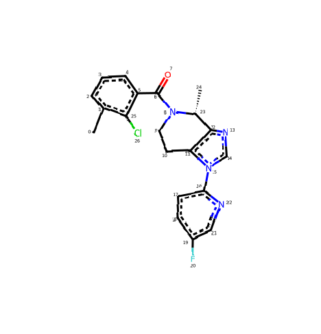 Cc1cccc(C(=O)N2CCc3c(ncn3-c3ccc(F)cn3)[C@H]2C)c1Cl